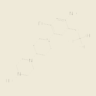 [2H]C([2H])([2H])Oc1cc(N2CCC(N3CCN(C)CC3)CC2)c(CC)cc1[N+](=O)[O-]